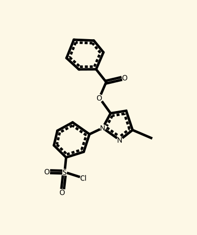 Cc1cc(OC(=O)c2ccccc2)n(-c2cccc(S(=O)(=O)Cl)c2)n1